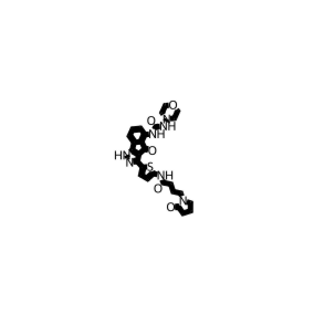 O=C(CCCN1CCCC1=O)Nc1ccc(-c2n[nH]c3c2C(=O)c2c(NC(=O)NN4CCOCC4)cccc2-3)s1